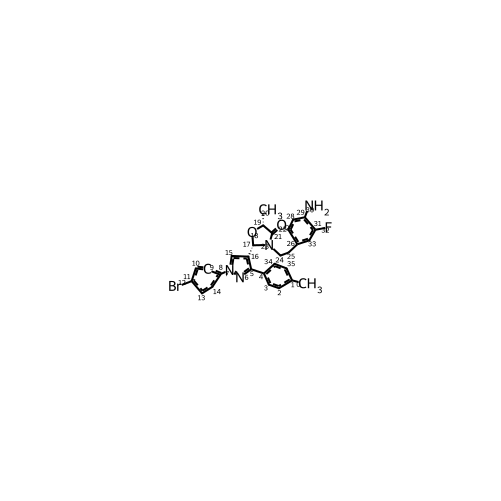 Cc1ccc(-c2nn(-c3ccc(Br)cc3)cc2[C@@H]2O[C@H](C)C(=O)N2CCc2ccc(N)c(F)c2)cc1